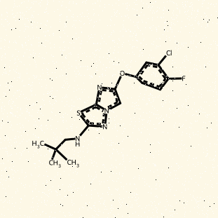 CC(C)(C)CNc1nn2cc(Oc3ccc(F)c(Cl)c3)nc2s1